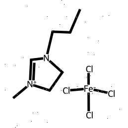 CCCN1C=[N+](C)CC1.[Cl][Fe-]([Cl])([Cl])[Cl]